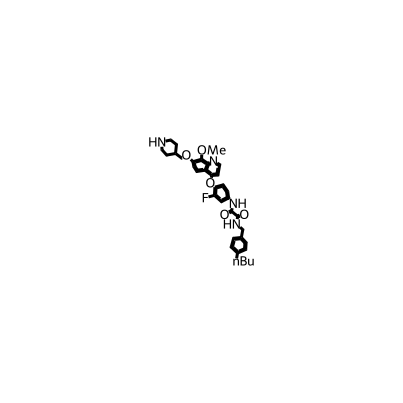 CCCCc1ccc(CNC(=O)C(=O)Nc2ccc(Oc3ccnc4c(OC)c(OCC5CCNCC5)ccc34)c(F)c2)cc1